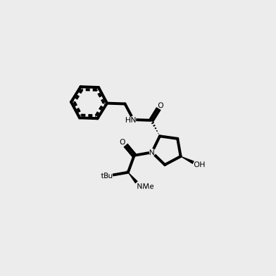 CN[C@H](C(=O)N1C[C@H](O)C[C@H]1C(=O)NCc1ccccc1)C(C)(C)C